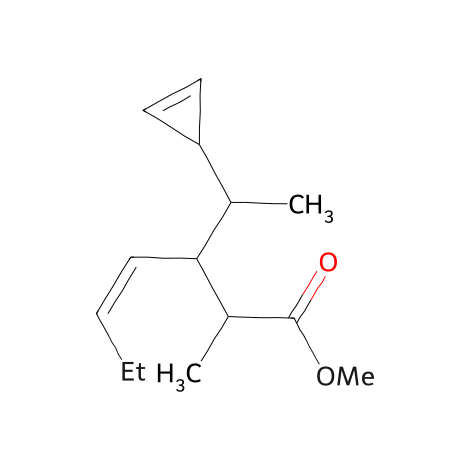 CC/C=C\C(C(C)C(=O)OC)C(C)C1C=C1